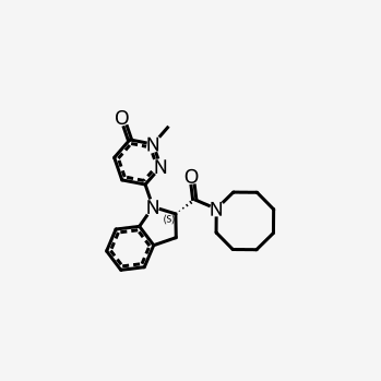 Cn1nc(N2c3ccccc3C[C@H]2C(=O)N2CCCCCCC2)ccc1=O